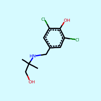 CC(C)(CO)NCc1cc(Cl)c(O)c(Cl)c1